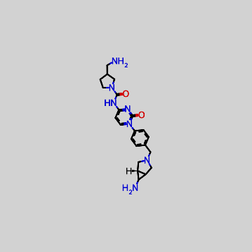 NCC1CCN(C(=O)Nc2ccn(-c3ccc(CN4CC5C(N)[C@@H]5C4)cc3)c(=O)n2)C1